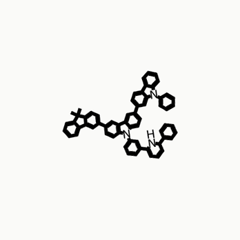 CC1(C)c2ccccc2-c2cc(-c3ccc4c(c3)c3cc(-c5ccc6c7ccccc7n(-c7ccccc7)c6c5)ccc3n4-c3cccc(C4=CC=CC(c5ccccc5)N4)c3)ccc21